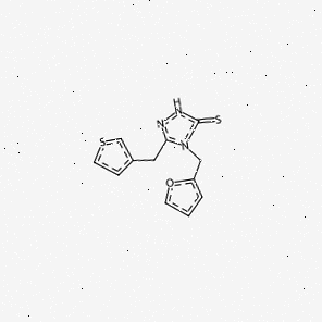 S=c1[nH]nc(Cc2ccsc2)n1Cc1ccco1